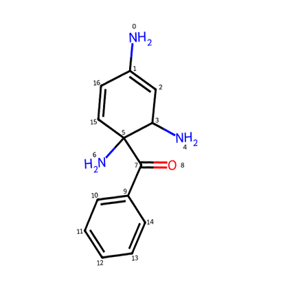 NC1=CC(N)C(N)(C(=O)c2ccccc2)C=C1